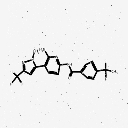 Cn1nc(C(F)(F)F)cc1-c1ccc(NC(=O)c2ccc(C(C)(F)F)cc2)nc1N